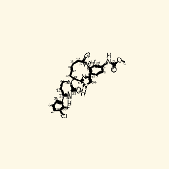 COC(=O)Nc1ccc2c(c1)NC(=O)CC/C=C/C[C@H](N1CC[C@H](c3cccc(Cl)c3F)NC1=O)c1nc-2c[nH]1